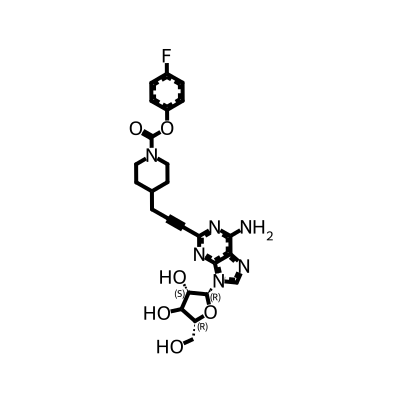 Nc1nc(C#CCC2CCN(C(=O)Oc3ccc(F)cc3)CC2)nc2c1ncn2[C@@H]1O[C@H](CO)C(O)[C@@H]1O